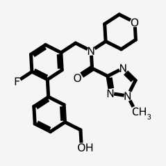 Cn1cnc(C(=O)N(Cc2ccc(F)c(-c3cccc(CO)c3)c2)C2CCOCC2)n1